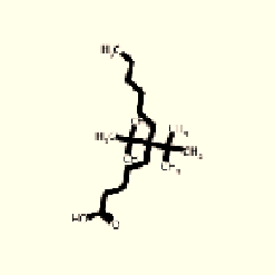 CCCCCCC(CCCCC(=O)O)(C(C)(C)C)C(C)(C)C